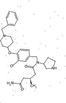 C[C@@H](CC(N)=O)CC(=O)N(Cc1ccc(OC2CCN(Cc3ccccc3)CC2)c(Cl)c1)C1CCNC1